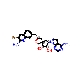 Nc1nc2cc(C[C@@H]3C[C@@]4(CO3)C[C@@H](n3ccc5c(N)ncnc53)[C@H](O)[C@@H]4O)ccc2cc1Br